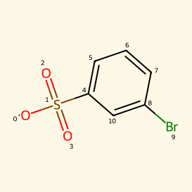 [O]S(=O)(=O)c1cccc(Br)c1